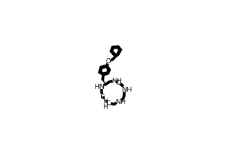 c1ccc(COc2ccc(C[C@H]3CNCCNCCNCCNCCN3)cc2)cc1